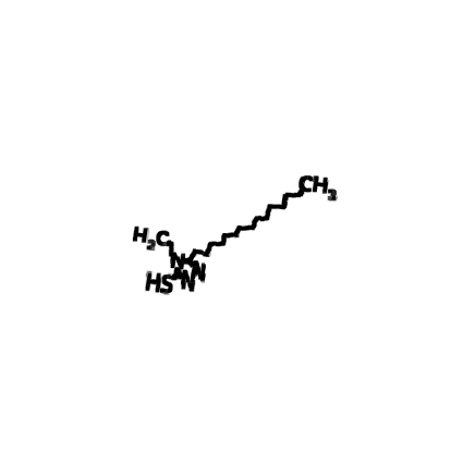 C=CCn1c(S)nnc1CCCCCCCCCCCCCCC